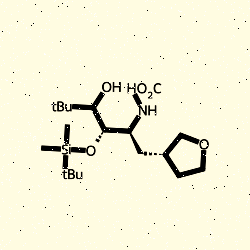 CC(C)(C)C(O)[C@@H](O[Si](C)(C)C(C)(C)C)[C@H](C[C@H]1CCOC1)NC(=O)O